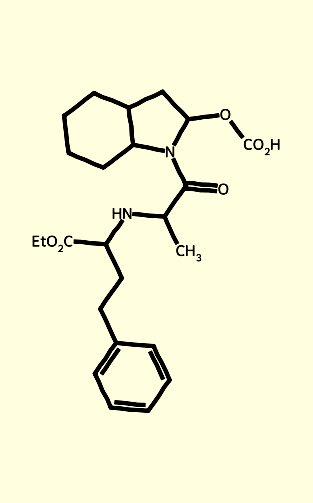 CCOC(=O)C(CCc1ccccc1)NC(C)C(=O)N1C(OC(=O)O)CC2CCCCC21